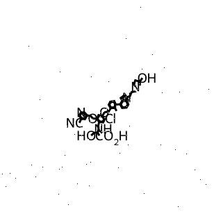 Cc1c(COc2cc(OCc3cncc(C#N)c3)c(CNC(CO)C(=O)O)cc2Cl)cccc1-c1cccc2c1ccn2CCCN1CCC(O)C1